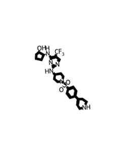 O=S(=O)(c1ccc(C2=CCNCC2)cc1)N1CCC(Nc2ncc(C(F)(F)F)c(N[C@@H]3CCC[C@H]3O)n2)CC1